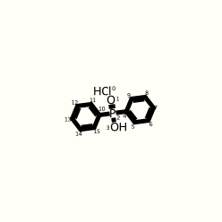 Cl.O=P(O)(c1ccccc1)c1ccccc1